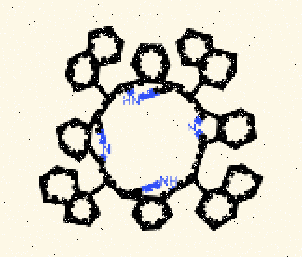 c1ccc2c(c1)-c1nc-2c(-c2cccc3ccccc23)c2[nH]c(c(-c3cccc4ccccc34)c3nc(c(-c4cccc5ccccc45)c4[nH]c(c1-c1cccc5ccccc15)c1ccccc41)-c1ccccc1-3)c1ccccc21